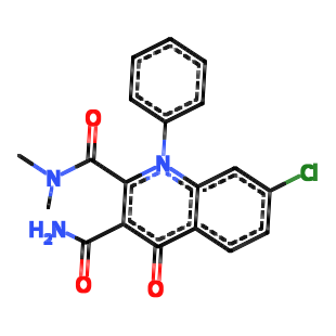 CN(C)C(=O)c1c(C(N)=O)c(=O)c2ccc(Cl)cc2n1-c1ccccc1